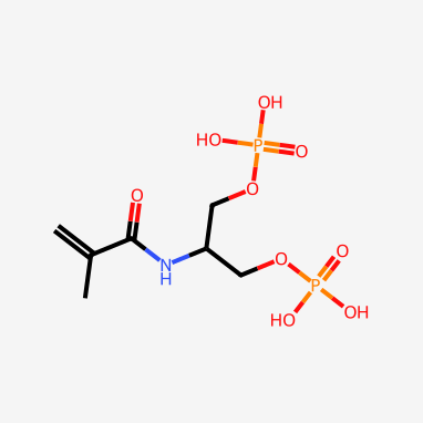 C=C(C)C(=O)NC(COP(=O)(O)O)COP(=O)(O)O